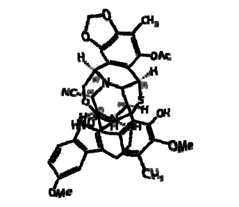 COc1ccc2[nH]c3c(c2c1)CCN[C@]31CS[C@@H]2c3c(OC(C)=O)c(C)c4c(c3[C@H](COC1=O)N1C2[C@@H]2N[C@@H](Cc3cc(C)c(OC)c(O)c32)[C@@H]1C#N)OCO4